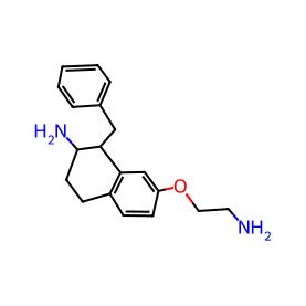 NCCOc1ccc2c(c1)C(Cc1ccccc1)C(N)CC2